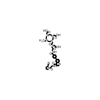 CCN1CCN(CC(=O)O)CCN(CC(=O)O)CCN(CC(=O)N(CCCNC(=O)c2ccc(-c3ccc4nccc(C(=O)NCC(=O)N5CCCC5C#N)c4c3)cc2)CC(=O)O)CC1